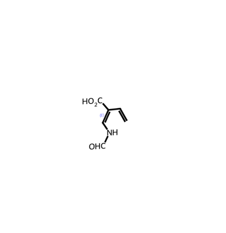 C=C/C(=C\NC=O)C(=O)O